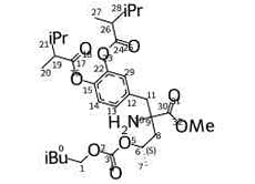 CCC(C)COC(=O)O[C@@H](C)CC(N)(Cc1ccc(OC(=O)C(C)C(C)C)c(OC(=O)C(C)C(C)C)c1)C(=O)OC